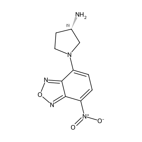 N[C@H]1CCN(c2ccc([N+](=O)[O-])c3nonc23)C1